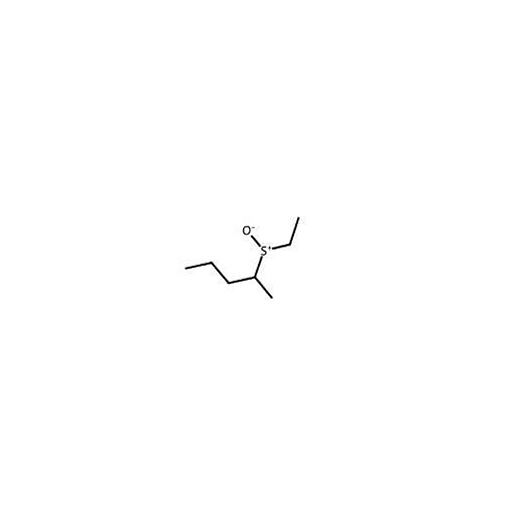 CCCC(C)[S+]([O-])CC